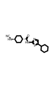 N#CN[C@H]1CC[C@H](C(=O)Nc2ncc(C3CCCCC3)s2)CC1